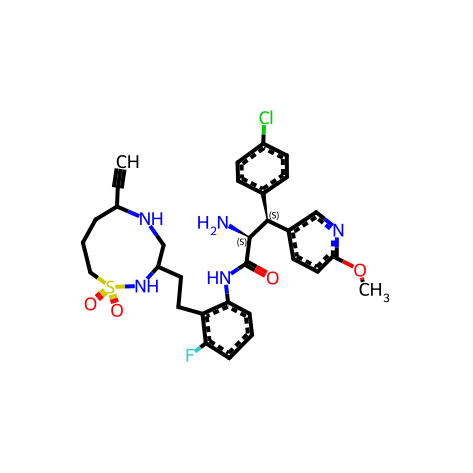 C#CC1CCCS(=O)(=O)NC(CCc2c(F)cccc2NC(=O)[C@@H](N)[C@@H](c2ccc(Cl)cc2)c2ccc(OC)nc2)CN1